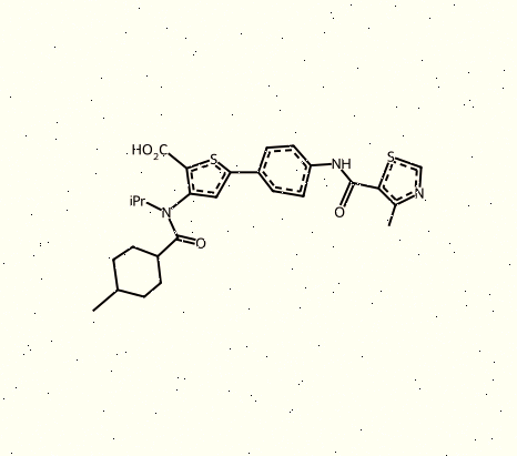 Cc1ncsc1C(=O)Nc1ccc(-c2cc(N(C(=O)C3CCC(C)CC3)C(C)C)c(C(=O)O)s2)cc1